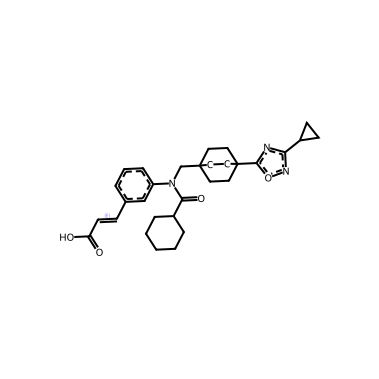 O=C(O)/C=C/c1cccc(N(CC23CCC(c4nc(C5CC5)no4)(CC2)CC3)C(=O)C2CCCCC2)c1